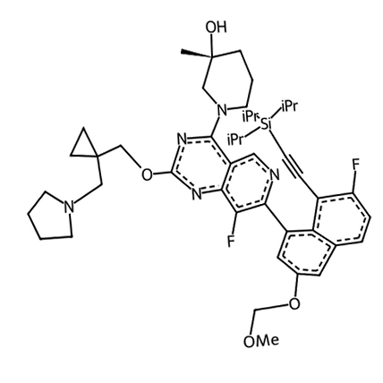 COCOc1cc(-c2ncc3c(N4CCC[C@@](C)(O)C4)nc(OCC4(CN5CCCC5)CC4)nc3c2F)c2c(C#C[Si](C(C)C)(C(C)C)C(C)C)c(F)ccc2c1